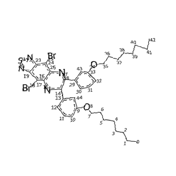 CCCCCCCCOc1cccc(-c2nc3c(Br)c4nsnc4c(Br)c3nc2-c2cccc(OCCCCCCCC)c2)c1